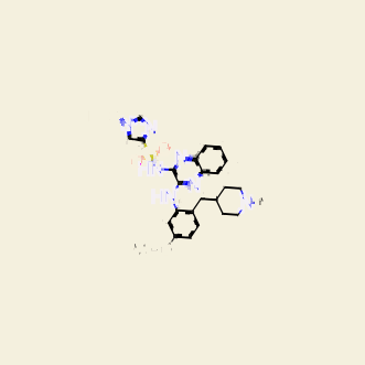 COc1ccc(CC2CCN(C(C)=O)CC2)c(Nc2nc3ccccc3nc2NS(=O)(=O)c2cn(C)cn2)c1